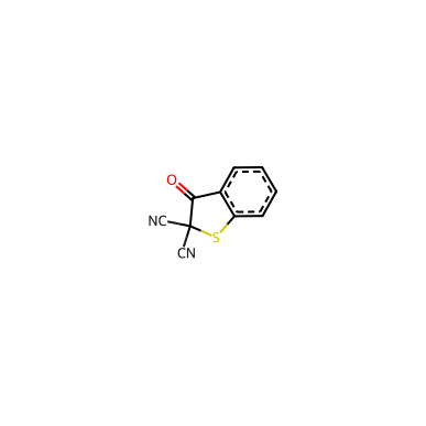 N#CC1(C#N)Sc2ccccc2C1=O